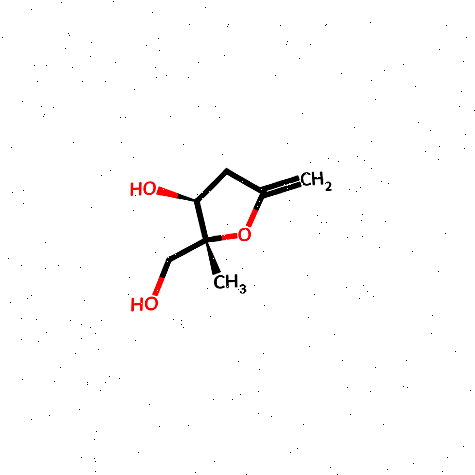 C=C1C[C@H](O)[C@@](C)(CO)O1